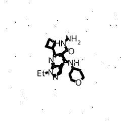 CCn1ncc2c(NC3CCOCC3)c(C(=O)NN)c(C3CCC3)nc21